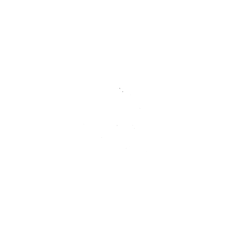 Nc1sccc1C1(O)CCC1